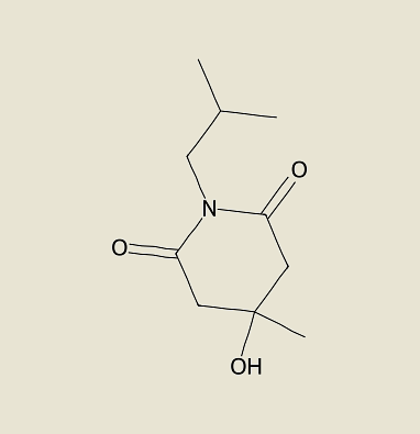 CC(C)CN1C(=O)CC(C)(O)CC1=O